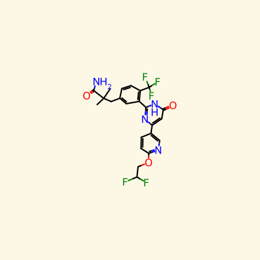 CC(C)(Cc1ccc(C(F)(F)F)c(-c2nc(-c3ccc(OCC(F)F)nc3)cc(=O)[nH]2)c1)C(N)=O